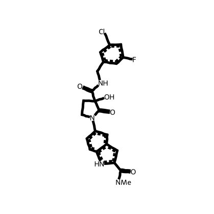 CNC(=O)c1cc2cc(N3CCC(O)(C(=O)NCc4cc(F)cc(Cl)c4)C3=O)ccc2[nH]1